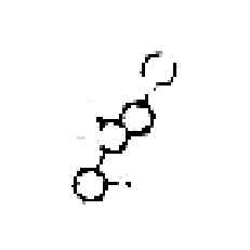 COc1ccccc1-c1cc2ccc(N3CCOCC3)cc2c(=O)[nH]1